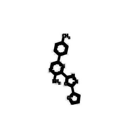 Cc1ccc(-c2cnc(N)c(-c3nnc(-c4ccco4)o3)n2)cc1